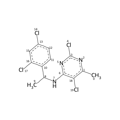 Cc1nc(Cl)nc(NC(C)c2ccc(Cl)cc2Cl)c1Cl